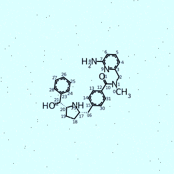 CN(Cc1cccc(N)n1)C(=O)c1ccc(C[C@@H]2CC[C@H](C(O)c3ccccc3)N2)cc1